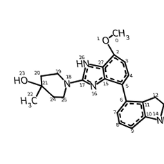 COc1ccc(-c2cccc3c2CCN3)c2nc(N3CCC(C)(O)CC3)[nH]c12